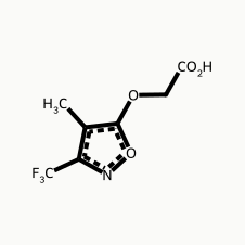 Cc1c(C(F)(F)F)noc1OCC(=O)O